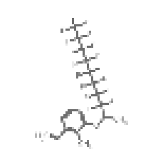 C=Cc1cccc(OC(C)C(F)(F)C(F)(F)C(F)(F)C(F)(F)C(F)(F)C(F)(F)C(F)(F)C(F)(F)F)c1C